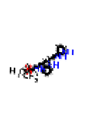 CC(C)(C)OC(=O)CCCC[CH]CC(CCCNC1CCCCNC1)NC1CCCCNC1